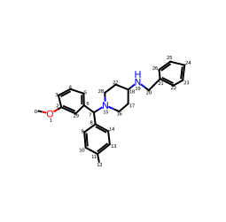 COc1cccc(C(c2ccc(C)cc2)N2CCC(NCc3ccccc3)CC2)c1